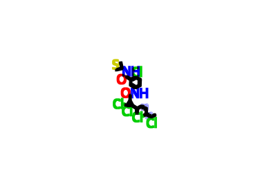 C=C(/C=C\C(Cl)=C(/C)Cl)C1C(C(=O)Nc2ccc(Cl)c(C(=O)NC3CSC3)c2)C1(Cl)Cl